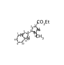 CCOC(=O)c1cc(-c2cn3ccccc3n2)n(C)n1